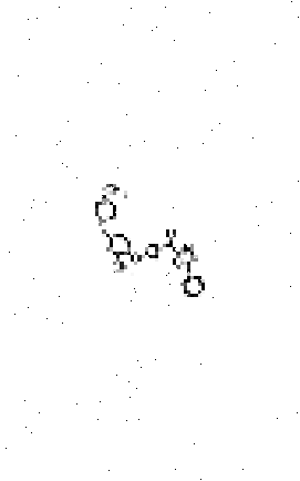 Cc1cc(CN2CCN(C)CC2)ccc1OC1CN(C(=O)c2nnc(-c3ccccc3)o2)C1